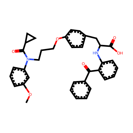 COc1cccc(N(CCCOc2ccc(CC(Nc3ccccc3C(=O)c3ccccc3)C(=O)O)cc2)C(=O)C2CC2)c1